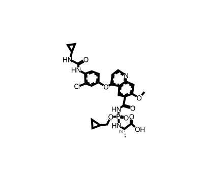 COc1cc2nccc(Oc3ccc(NC(=O)NC4CC4)c(Cl)c3)c2cc1C(=O)NP(=O)(N[C@@H](C)C(=O)O)OCC1CC1